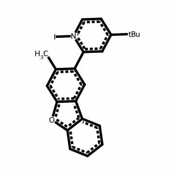 Cc1cc2oc3ccccc3c2cc1-c1cc(C(C)(C)C)cc[n+]1I